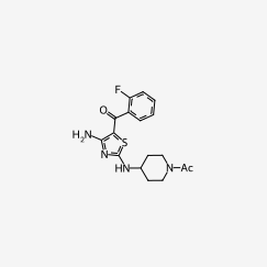 CC(=O)N1CCC(Nc2nc(N)c(C(=O)c3ccccc3F)s2)CC1